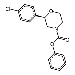 O=C(Oc1ccccc1)N1CCO[C@H](c2ccc(Cl)cc2)C1